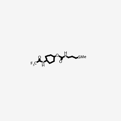 CSCCCNC(=O)OC1CCC(NC(=O)C(F)(F)F)CC1